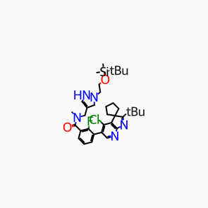 CN(CC1=CNN(CCO[Si](C)(C)C(C)(C)C)C1)C(=O)c1cccc(-c2cnc3c(c2Cl)C2(CCCC2)C(C(C)(C)C)=N3)c1F